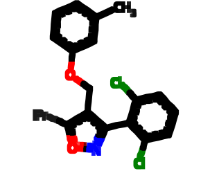 Cc1cccc(OCc2c(-c3c(Cl)cccc3Cl)noc2C(C)C)c1